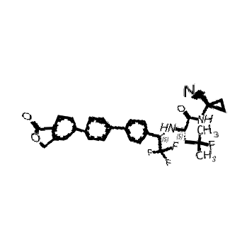 CC(C)(F)C[C@H](N[C@@H](c1ccc(-c2ccc(-c3ccc4c(c3)COC4=O)cc2)cc1)C(F)(F)F)C(=O)NC1(C#N)CC1